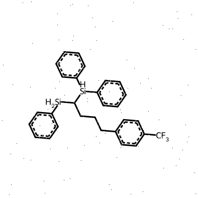 FC(F)(F)c1ccc(CCCC([SiH2]c2ccccc2)[SiH](c2ccccc2)c2ccccc2)cc1